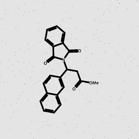 COC(=O)CC(c1ccc2ccccc2c1)N1C(=O)c2ccccc2C1=O